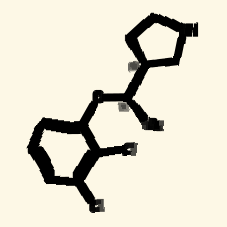 CCCC[C@@H](Oc1cccc(Cl)c1Cl)[C@H]1CCNC1